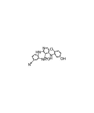 N#Cc1ccc2c(c1)NC(=O)c1c(Nc3cc(O)ccc3Cl)ccnc1N2